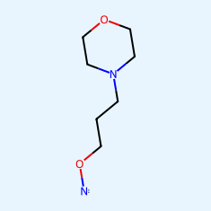 [N]OCCCN1CCOCC1